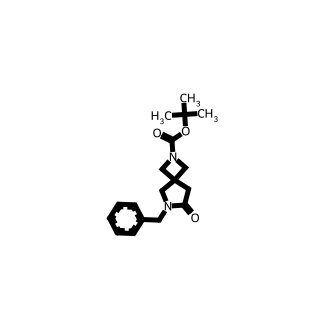 CC(C)(C)OC(=O)N1CC2(CC(=O)N(Cc3ccccc3)C2)C1